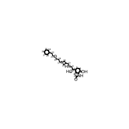 O=c1[nH]c2c(O)ccc([C@@H](O)CNCC3CN(CCCOCCc4ccccc4)C3)c2s1